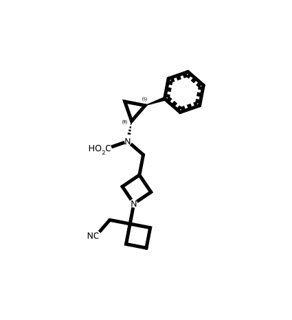 N#CCC1(N2CC(CN(C(=O)O)[C@@H]3C[C@H]3c3ccccc3)C2)CCC1